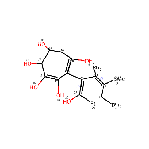 BC/C(SC)=C(B)\C(C1=C(O)CC(O)C(O)C(O)=C1O)=C(\O)CC